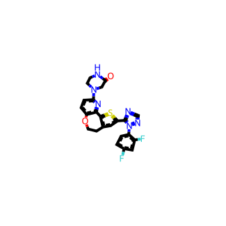 O=C1CN(c2ccc3c(n2)-c2sc(-c4ncnn4-c4ccc(F)cc4F)cc2CCO3)CCN1